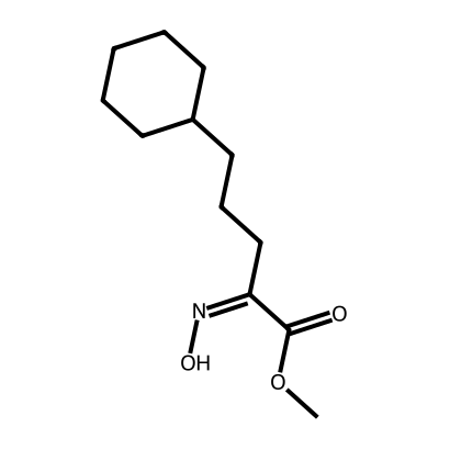 COC(=O)C(CCCC1CCCCC1)=NO